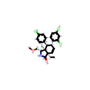 CC[C@@]12C=C[C@@H](c3ccc(Cl)cc3Cl)[C@H](c3ccc(Cl)cc3)[C@@H]1[C@@H](COC)NC2=O